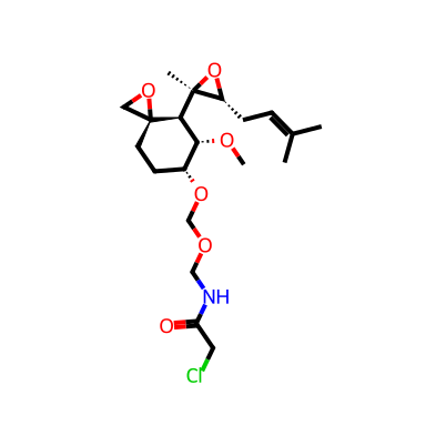 CO[C@@H]1[C@H](OCOCNC(=O)CCl)CC[C@]2(CO2)[C@H]1[C@@]1(C)O[C@@H]1CC=C(C)C